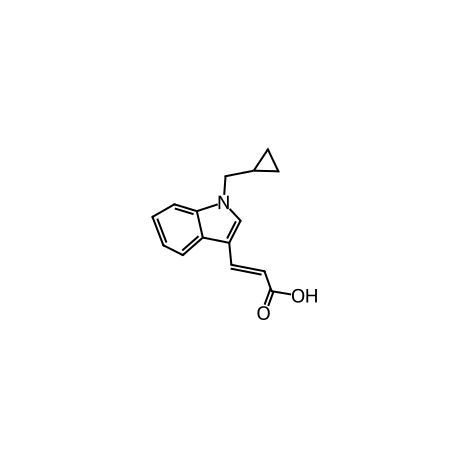 O=C(O)C=Cc1cn(CC2CC2)c2ccccc12